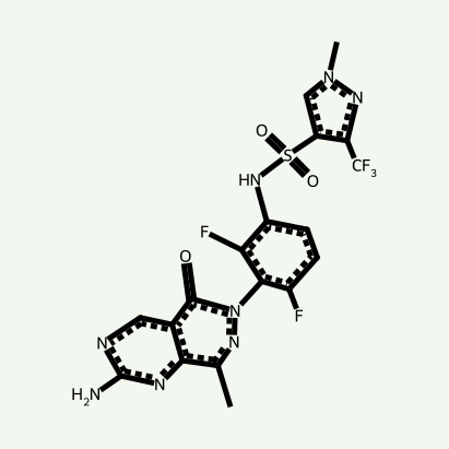 Cc1nn(-c2c(F)ccc(NS(=O)(=O)c3cn(C)nc3C(F)(F)F)c2F)c(=O)c2cnc(N)nc12